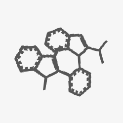 CC1=C(c2ccccc2C2C(C(C)C)=Cc3ccccc32)C(C)c2ccccc21